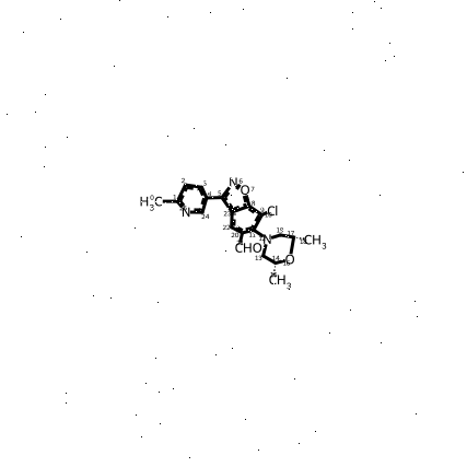 Cc1ccc(-c2noc3c(Cl)c(N4C[C@@H](C)O[C@@H](C)C4)c(C=O)cc23)cn1